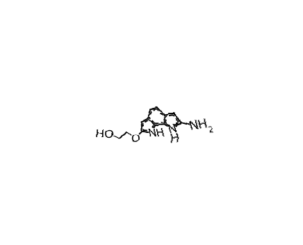 Nc1cc2ccc3cc(OCCO)[nH]c3c2[nH]1